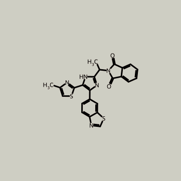 Cc1csc(-c2[nH]c(C(C)N3C(=O)c4ccccc4C3=O)nc2-c2ccc3ncsc3c2)n1